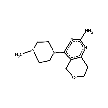 CN1CCN(c2nc(N)nc3c2COCC3)CC1